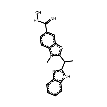 CC(c1nc2ccccc2[nH]1)c1nc2cc(C(=N)NO)ccc2n1C